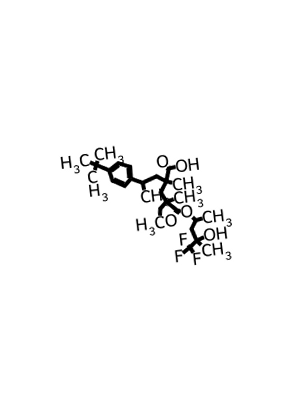 CCC(C)(CC(C)(CC(C)c1ccc(C(C)(C)C)cc1)C(=O)O)C(=O)OC(C)CC(C)(O)C(F)(F)F